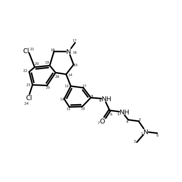 CN(C)CCNC(=O)Nc1cccc(C2CN(C)Cc3c(Cl)cc(Cl)cc32)c1